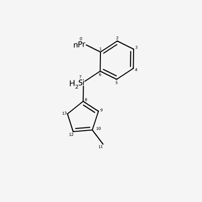 CCCc1ccccc1[SiH2]C1=CC(C)=CC1